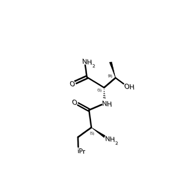 CC(C)C[C@H](N)C(=O)N[C@H](C(N)=O)[C@@H](C)O